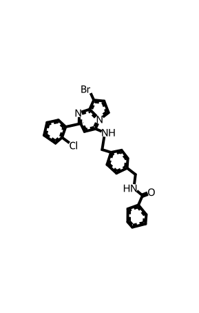 O=C(NCc1ccc(CNc2cc(-c3ccccc3Cl)nc3c(Br)ccn23)cc1)c1ccccc1